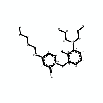 CCCCCOc1ccn(Cc2cccc(N(CCC)CCC)c2C)c(=O)c1